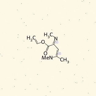 C=COC(=O)C(/C=C(/C)NC)=N\C